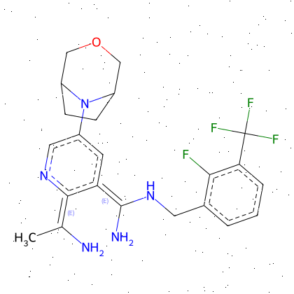 C/C(N)=c1\ncc(N2C3CCC2COC3)c\c1=C(\N)NCc1cccc(C(F)(F)F)c1F